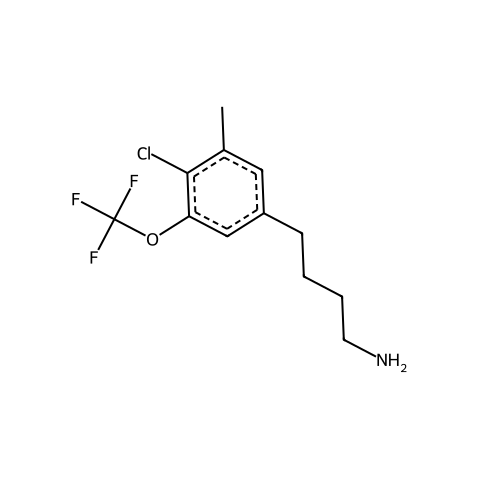 Cc1cc(CCCCN)cc(OC(F)(F)F)c1Cl